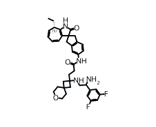 CC[C@H]1C=CC=CC2=C1NC(=O)C21Cc2ccc(NC(=O)CCC3(NCC(N)c4cc(F)cc(F)c4)CC4(CCOCC4)C3)cc2C1